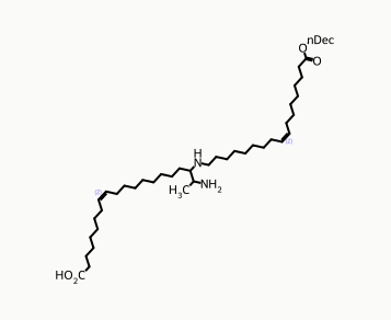 CCCCCCCCCCOC(=O)CCCCCCC/C=C\CCCCCCCCNC(CCCCCCCC/C=C\CCCCCCCC(=O)O)C(C)N